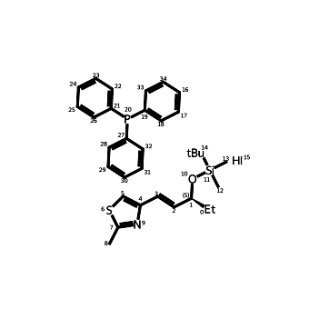 CC[C@@H](C=Cc1csc(C)n1)O[Si](C)(C)C(C)(C)C.I.c1ccc(P(c2ccccc2)c2ccccc2)cc1